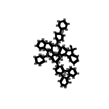 CC1(C)c2ccccc2-c2ccc(N(c3ccc(-c4ccccc4)cc3)c3cc4ccccc4c4c3c3ccc(-c5ccc6c7ccccc7c7ccccc7c6c5)cc3n4-c3ccccc3)cc21